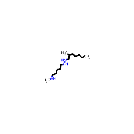 CCCCCC(C)CNNCCCCCNC